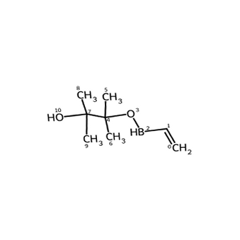 C=CBOC(C)(C)C(C)(C)O